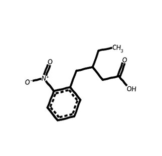 CCC(CC(=O)O)Cc1ccccc1[N+](=O)[O-]